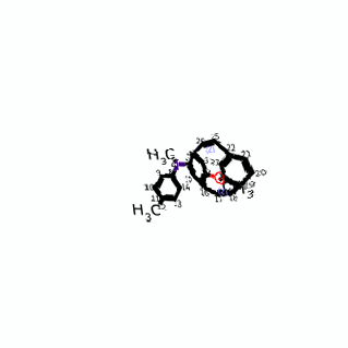 COc1cc2c(I(C)c3ccc(C)cc3)cc1/C=C\c1ccc(cc1)/C=C\2